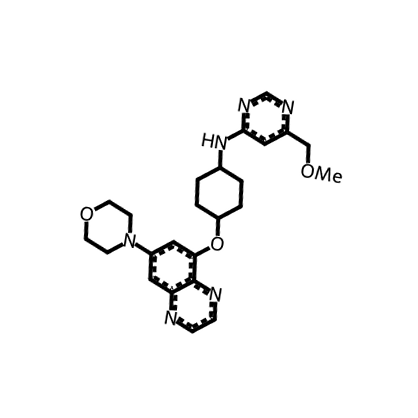 COCc1cc(NC2CCC(Oc3cc(N4CCOCC4)cc4nccnc34)CC2)ncn1